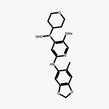 CNc1cnc(Nc2cc3c(cc2C)OCO3)cc1N(C=O)C1CCOCC1